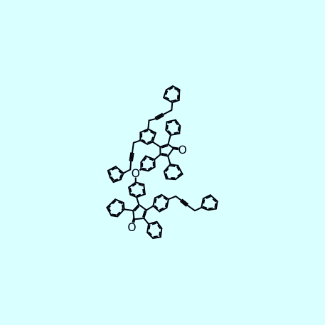 O=C1C(c2ccccc2)=C(c2ccc(CC#CCc3ccccc3)cc2)C(c2ccc(Oc3ccc(C4=C(c5ccccc5)C(=O)C(c5ccccc5)=C4c4cc(CC#CCc5ccccc5)cc(CC#CCc5ccccc5)c4)cc3)cc2)=C1c1ccccc1